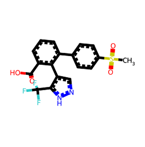 CS(=O)(=O)c1ccc(-c2cccc(C(=O)O)c2-c2cn[nH]c2C(F)(F)F)cc1